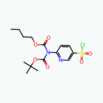 CCCCOC(=O)N(C(=O)OC(C)(C)C)c1ccc(S(=O)(=O)Cl)cn1